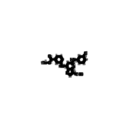 CC(C)(C)OC(=O)c1cccc(Nc2cc(Nc3cccc(Cl)c3)nc3c(C=O)cnn23)c1